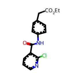 CCOC(=O)Cc1ccc(NC(=O)c2cccnc2Cl)cc1